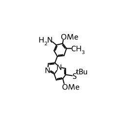 COc1cc2ncc(-c3cc(C)c(OC)c(N)c3)n2cc1SC(C)(C)C